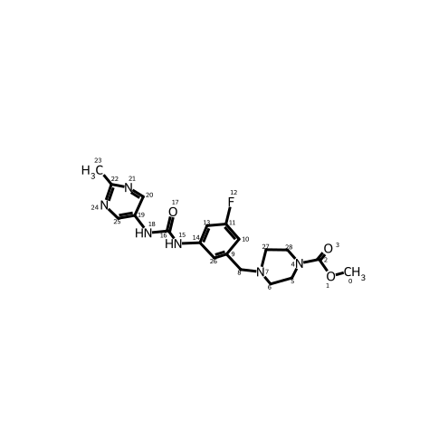 COC(=O)N1CCN(Cc2cc(F)cc(NC(=O)Nc3cnc(C)nc3)c2)CC1